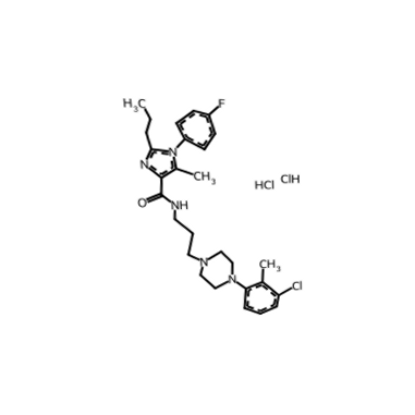 CCCc1nc(C(=O)NCCCN2CCN(c3cccc(Cl)c3C)CC2)c(C)n1-c1ccc(F)cc1.Cl.Cl